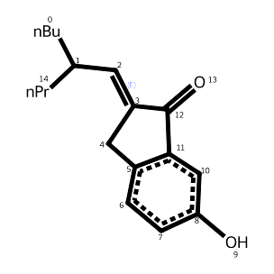 CCCCC(/C=C1\Cc2ccc(O)cc2C1=O)CCC